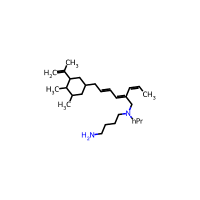 C=C(C)C1CC(C/C=C/C=C(\C=C/C)CN(CCC)CCCCN)CC(C)C1C